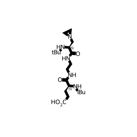 CCC(C)N[C@@H](CCC(=O)O)C(=O)NCCNC(=O)[C@H](CN1CC1)NC(C)(C)C